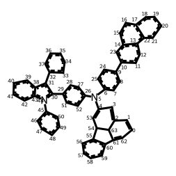 C1=CC2=CC(N(c3ccc(-c4ccc5c(ccc6ccccc65)c4)cc3)c3ccc(-c4c(-c5ccccc5)c5ccccc5n4-c4ccccc4)cc3)=CC3c4ccccc4C(=C1)C23